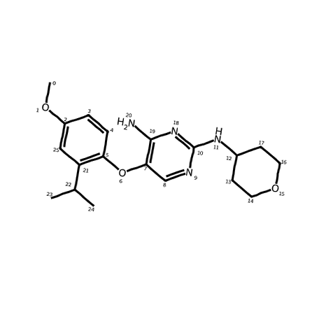 COc1ccc(Oc2cnc(NC3CCOCC3)nc2N)c(C(C)C)c1